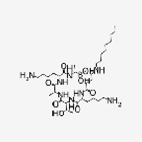 CCCCCCCCCNCCCC(=O)N[C@@H](CCCCN)C(=O)N[C@H](C(=O)N[C@@H](C)C(=O)N[C@@H](CCCCN)C(=O)N[C@@H](C)B(O)O)[C@@H](C)O